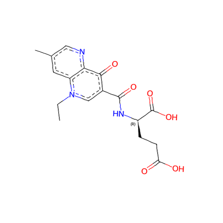 CCn1cc(C(=O)N[C@H](CCC(=O)O)C(=O)O)c(=O)c2ncc(C)cc21